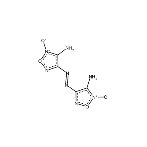 Nc1c(N=Nc2no[n+]([O-])c2N)no[n+]1[O-]